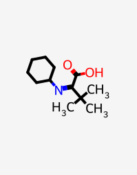 CC(C)(C)/C(=N/C1CCCCC1)C(=O)O